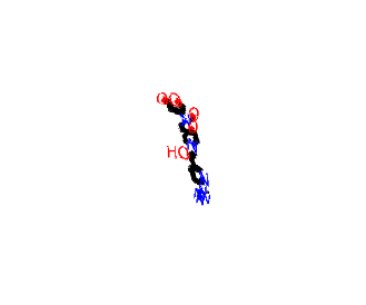 O=C1C=C(N2CCC3(CCN(CC(O)c4ccc(-n5cnnn5)nc4)CC3)OC2=O)CO1